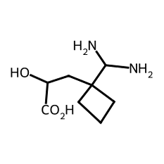 NC(N)C1(CC(O)C(=O)O)CCC1